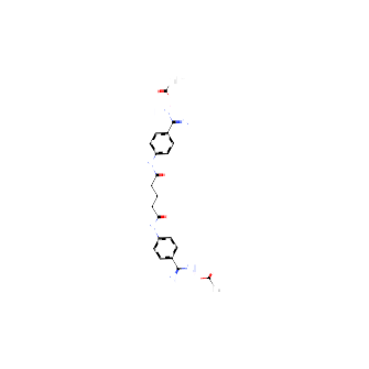 CCCC(=O)ONC(=N)c1ccc(NC(=O)CCCC(=O)Nc2ccc(C(=N)NOC(=O)CCC)cc2)cc1